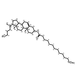 CCCCCCCCCCCCCCCCCCCCCC(=O)OC1CC[C@@]2(C)C(=CCC3C2CC[C@@]2(C)C3CC[C@@H]2[C@H](C)CCCC(C)C)C1